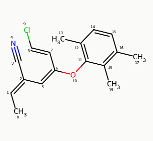 C\C=C(C#N)/C=C(\C=C\Cl)Oc1c(C)ccc(C)c1C